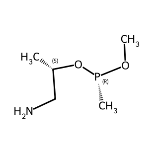 CO[P@](C)O[C@@H](C)CN